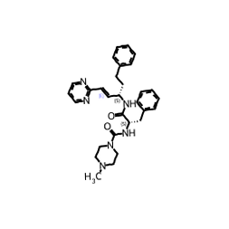 CN1CCN(C(=O)N[C@@H](Cc2ccccc2)C(=O)N[C@H](/C=C/c2ncccn2)CCc2ccccc2)CC1